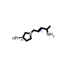 CCC[C@@H]1CCN(C/C=C/C(C)N)C1